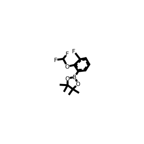 CC1(C)OB(c2cccc(F)c2OC(F)F)OC1(C)C